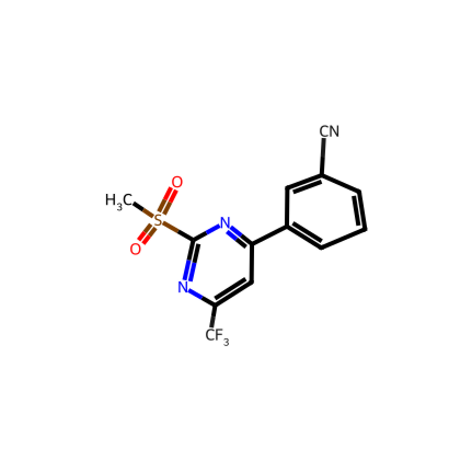 CS(=O)(=O)c1nc(-c2cccc(C#N)c2)cc(C(F)(F)F)n1